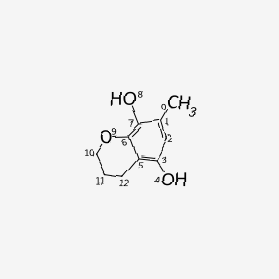 Cc1cc(O)c2c(c1O)OCCC2